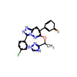 CC(Oc1nn2c(-c3ccc(F)cc3)nnc2cc1C1=CC(=S)CC=C1)c1nc[nH]n1